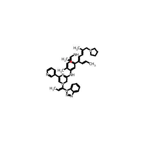 C=C=C(\C=C(NC1=NC(c2cccnc2)=CN(/C(=C\C)n2nnc3ccccc32)C1)/C(C)=C\C=C\N)C(/C=C/C)=C/C=C(\C)CN1CCCC1